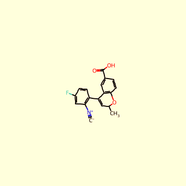 [C-]#[N+]c1cc(F)ccc1C1=CC(C)Oc2ccc(C(=O)O)cc21